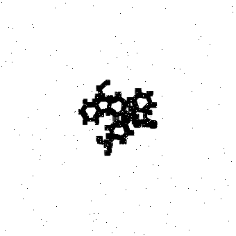 CCn1c2ccccc2c2cc(C3(c4ccc(N(C)C)cc4)OC(=O)c4ccccc43)ccc21